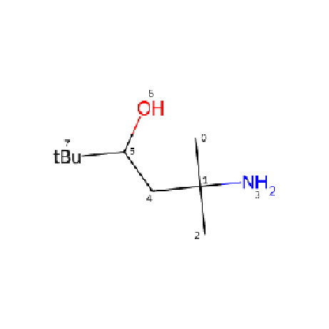 CC(C)(N)CC(O)C(C)(C)C